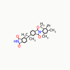 Cc1cc(C)c(N2C(=O)c3ccc(C(C)(C)c4ccc5c(c4)C(=O)NC5=O)cc3C2=O)c(C)c1C(C)C